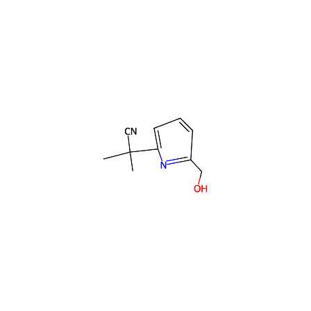 CC(C)(C#N)c1cccc(CO)n1